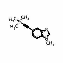 Cn1cnc2cc(C#C[Si](C)(C)C)ccc21